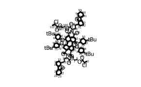 C=C(Cl)C(=O)OCCOC(=O)C(CCc1cccc2c1oc1ccccc12)N1C(=O)c2cc(Oc3ccc(C(C)(C)C)cc3)c3c4c(Oc5ccc(C(C)(C)C)cc5)cc5c6c(cc(Oc7ccc(C(C)(C)C)cc7)c(c7c(Oc8ccc(C(C)(C)C)cc8)cc(c2c37)C1=O)c64)C(=O)N(C(CCc1cccc2c1oc1ccccc12)C(=O)OCCOC(=O)C(=C)Cl)C5=O